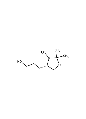 CN1[C@@H](CCCO)COC1(C)C